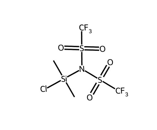 C[Si](C)(Cl)N(S(=O)(=O)C(F)(F)F)S(=O)(=O)C(F)(F)F